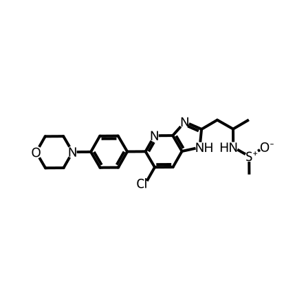 CC(Cc1nc2nc(-c3ccc(N4CCOCC4)cc3)c(Cl)cc2[nH]1)N[S+](C)[O-]